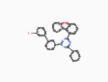 Brc1cccc(-c2cccc(-c3nc(-c4ccccc4)nc(-c4cccc5oc6ccccc6c45)n3)c2)c1